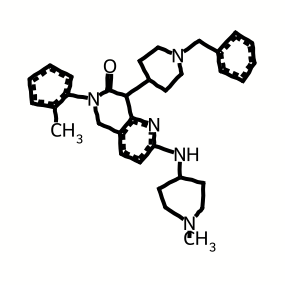 Cc1ccccc1N1Cc2ccc(NC3CCN(C)CC3)nc2C(C2CCN(Cc3ccccc3)CC2)C1=O